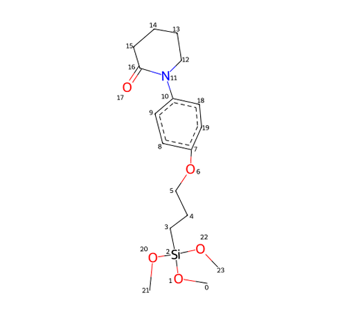 CO[Si](CCCOc1ccc(N2CCCCC2=O)cc1)(OC)OC